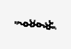 CCCc1ccc(-c2ccc(-c3ccc(COc4ccc(C)c(C(F)F)c4F)cc3)c(F)c2F)cc1